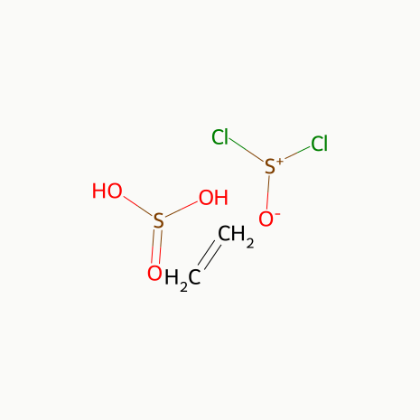 C=C.O=S(O)O.[O-][S+](Cl)Cl